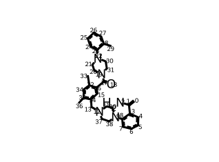 C=C(N)c1ccccc1N1CCN(Cc2cc(C(=O)N3CCN(c4ccccc4C)CC3)c(C)cc2C)CC1